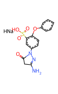 NC1=NN(c2ccc(Oc3ccccc3)c(S(=O)(=O)O)c2)C(=O)C1.[NaH]